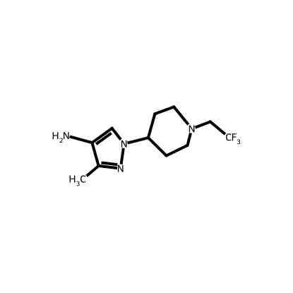 Cc1nn(C2CCN(CC(F)(F)F)CC2)cc1N